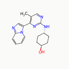 Cc1cnc(N[C@H]2CC[C@H](O)CC2)nc1-c1cnc2ccccn12